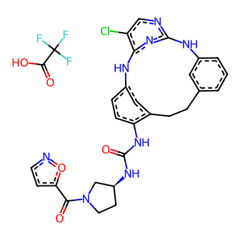 O=C(Nc1ccc2cc1CCc1cccc(c1)Nc1ncc(Cl)c(n1)N2)N[C@H]1CCN(C(=O)c2ccno2)C1.O=C(O)C(F)(F)F